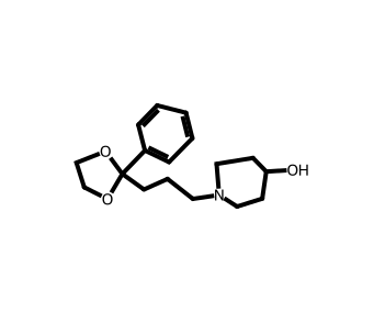 OC1CCN(CCCC2(c3ccccc3)OCCO2)CC1